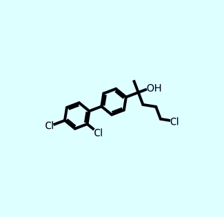 CC(O)(CCCCl)c1ccc(-c2ccc(Cl)cc2Cl)cc1